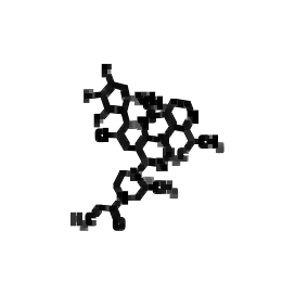 C=CC(=O)N1CCN(C2=NCN(c3c(SC)ccnc3C(C)C)c3nc(-c4c(N)cc(F)c(F)c4F)c(Cl)cc32)[C@@H](C)C1